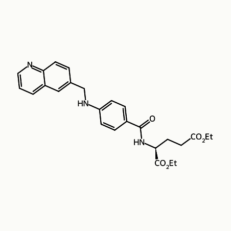 CCOC(=O)CC[C@H](NC(=O)c1ccc(NCc2ccc3ncccc3c2)cc1)C(=O)OCC